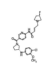 COc1cc(N[C@@H]2CCN(C(=O)c3ccc(NC(=O)/C=C/CN4CC[C@@H](F)C4)nc3)C2)ccc1Cl